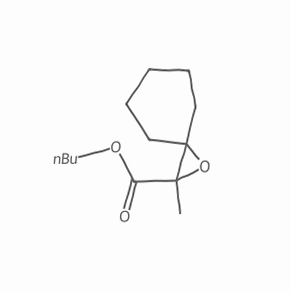 CCCCOC(=O)C1(C)OC12CCCCC2